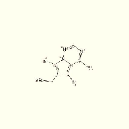 COCc1c(Br)c2c(N)ncnn2c1Br